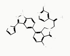 C=C(CN1Cc2c(-c3ccc4[nH]nc(-c5cccs5)c4c3)ccc(N)c2C1=O)c1ccnc(Cl)c1